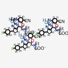 CCN(CC(Oc1cc(N)ccc1C#N)c1nc(Cl)nc2c1CCC2c1ccc(F)cc1)C(=O)[O-].CCN(CC(Oc1cc(N)ccc1C#N)c1nc(Cl)nc2c1CCC2c1ccc(F)cc1)C(=O)[O-].CCN(CC(Oc1cc(N)ccc1C#N)c1nc(Cl)nc2c1CCC2c1ccc(F)cc1)C(=O)[O-].[Fe+3]